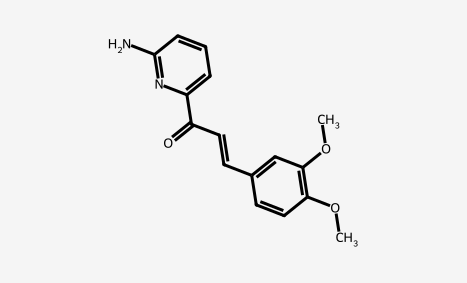 COc1ccc(/C=C/C(=O)c2cccc(N)n2)cc1OC